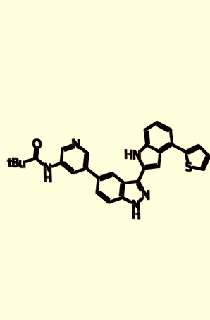 CC(C)(C)C(=O)Nc1cncc(-c2ccc3[nH]nc(-c4cc5c(-c6cccs6)cccc5[nH]4)c3c2)c1